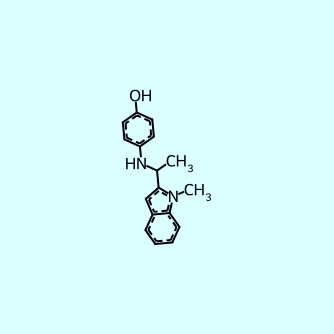 CC(Nc1ccc(O)cc1)c1cc2ccccc2n1C